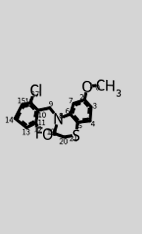 COc1ccc2c(c1)N(Cc1c(F)cccc1Cl)C(=O)CS2